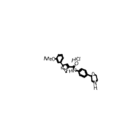 COc1cccc(-c2cc(C(=O)Nc3ccc(C4CNCCO4)cc3)n(C)n2)c1.Cl